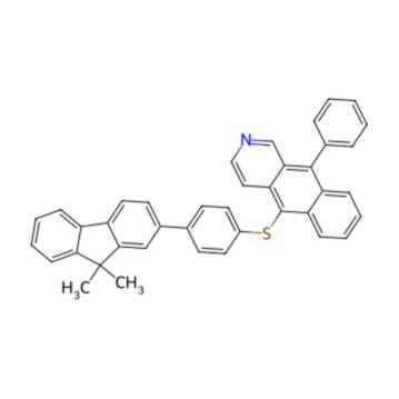 CC1(C)c2ccccc2-c2ccc(-c3ccc(Sc4c5ccccc5c(-c5ccccc5)c5cnccc45)cc3)cc21